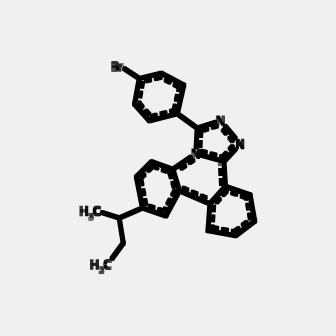 CCC(C)c1ccc2c(c1)c1ccccc1c1nnc(-c3ccc(Br)cc3)n21